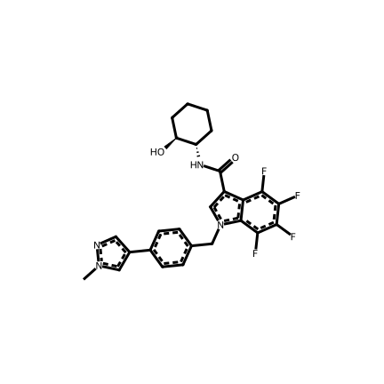 Cn1cc(-c2ccc(Cn3cc(C(=O)N[C@H]4CCCC[C@@H]4O)c4c(F)c(F)c(F)c(F)c43)cc2)cn1